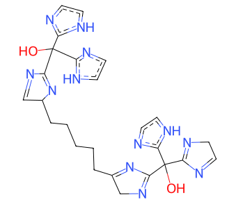 OC(C1=NCC=N1)(C1=NCC(CCCCCC2C=NC(C(O)(c3ncc[nH]3)c3ncc[nH]3)=N2)=N1)c1ncc[nH]1